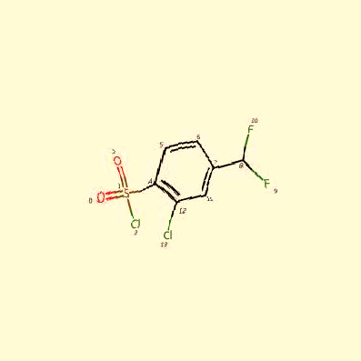 O=S(=O)(Cl)c1ccc(C(F)F)cc1Cl